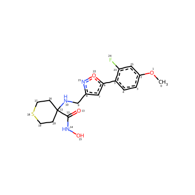 COc1ccc(-c2cc(CNC3(C(=O)NO)CCSCC3)no2)c(F)c1